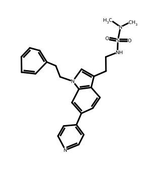 CN(C)S(=O)(=O)NCCc1cn(CCc2ccccc2)c2cc(-c3ccncc3)ccc12